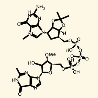 CO[C@@H]1C(O)[C@H](n2cnc3c(=O)[nH]c(C)nc32)O[C@@H]1COP(=O)(O)OP(=O)(O)OP(=O)(O)OC[C@H]1C[C@@H](n2c[n+](C)c3c(=O)[nH]c(N)nc32)C2OC(C)(C)O[C@H]21